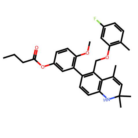 CCCC(=O)Oc1ccc(OC)c(-c2ccc3c(c2COc2cc(F)ccc2C)C(C)=CC(C)(C)N3)c1